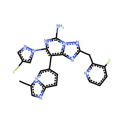 Cc1cnc2ccc(-c3c(-n4cc(F)cn4)nc(N)n4nc(Cc5ncccc5F)nc34)cn12